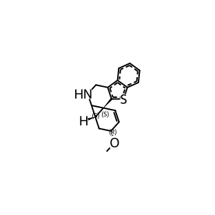 CO[C@H]1C=C[C@@]23c4sc5ccccc5c4CNC2[C@H]3C1